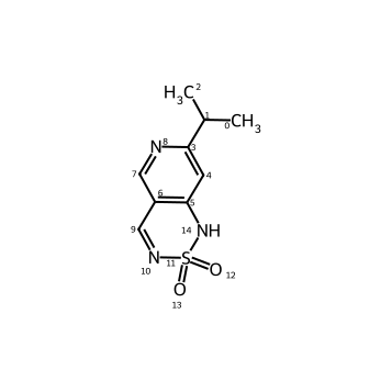 CC(C)c1cc2c(cn1)C=NS(=O)(=O)N2